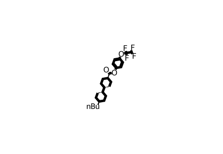 CCCC[C@H]1CC[C@H]([C@H]2CC[C@H](C(=O)Oc3ccc(OC(F)(F)C(F)F)cc3)CC2)CC1